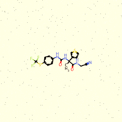 CC(NC(=O)Nc1ccc(SC(F)(F)F)cc1)(C(=O)NCC#N)c1ccsc1